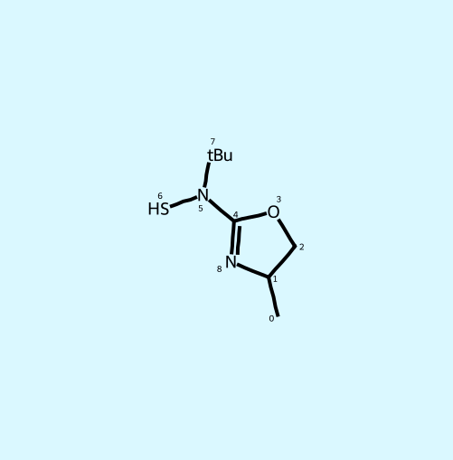 CC1COC(N(S)C(C)(C)C)=N1